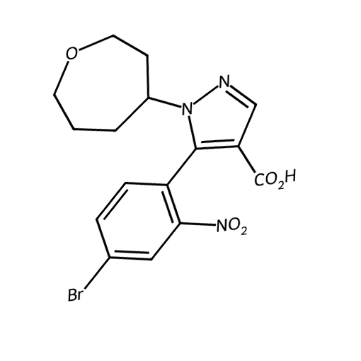 O=C(O)c1cnn(C2CCCOCC2)c1-c1ccc(Br)cc1[N+](=O)[O-]